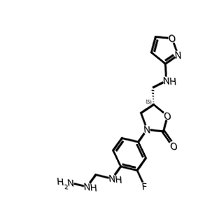 NNCNc1ccc(N2C[C@H](CNc3ccon3)OC2=O)cc1F